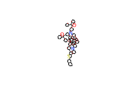 CC1(C)c2ccccc2C2(c3ccccc3-c3ccc(N(c4ccc(-c5oc6ccccc6c5-c5ccccc5)cc4)c4ccc(-c5oc6ccccc6c5-c5cccc(-c6ccc7c(c6)C6(c8ccccc8-c8c(N(c9ccccc9)c9ccccc9-c9ccc%10cc(-c%11ccc%12ccccc%12c%11)sc%10c9)cccc86)c6ccccc6C7(C)C)c5)cc4)cc32)c2ccccc21